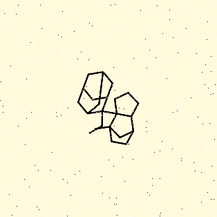 CCC1(C23CCCC2C2[CH]CC3(C)C2)C2CC3CC(C2)CC1C3